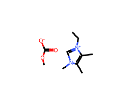 CC[n+]1cn(C)c(C)c1C.COC(=O)[O-]